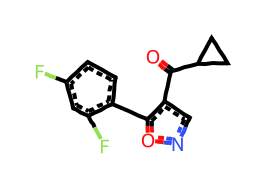 O=C(c1cnoc1-c1ccc(F)cc1F)C1CC1